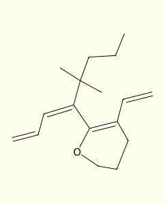 C=C/C=C(\C1=C(C=C)CCCO1)C(C)(C)CCC